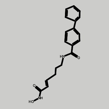 O=C(C=CCCCNC(=O)c1ccc(-c2ccccc2)cc1)NO